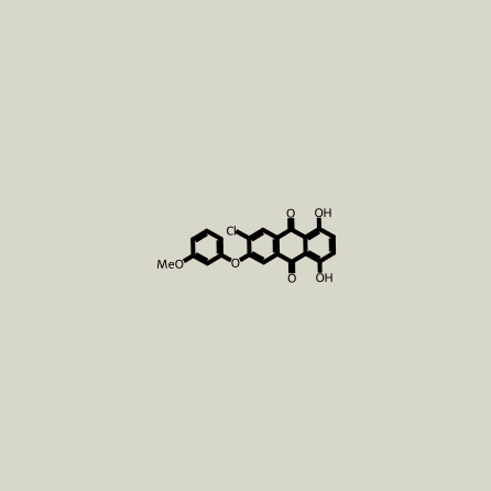 COc1cccc(Oc2cc3c(cc2Cl)C(=O)c2c(O)ccc(O)c2C3=O)c1